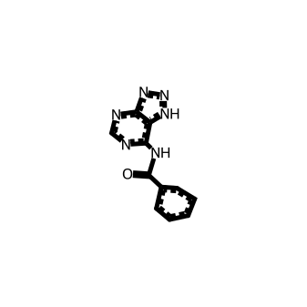 O=C(Nc1ncnc2nn[nH]c12)c1ccccc1